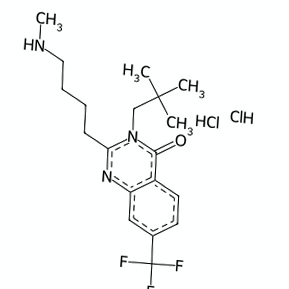 CNCCCCc1nc2cc(C(F)(F)F)ccc2c(=O)n1CC(C)(C)C.Cl.Cl